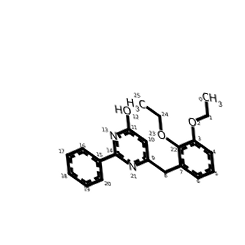 CCOc1cccc(Cc2cc(O)nc(-c3ccccc3)n2)c1OCC